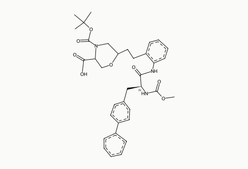 COC(=O)N[C@@H](Cc1ccc(-c2ccccc2)cc1)C(=O)Nc1ccccc1CCC1CN(C(=O)OC(C)(C)C)C(C(=O)O)CO1